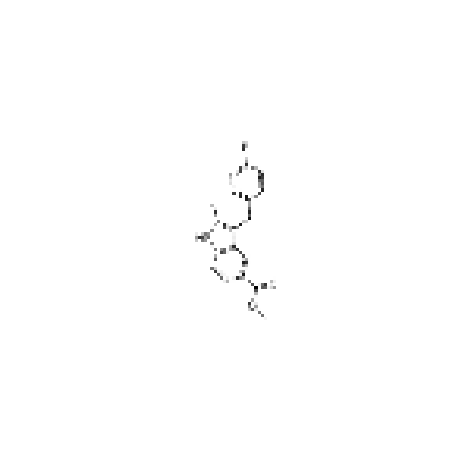 COC(=O)c1ccc2[nH]c(C)c(Cc3ccc(F)cc3)c2c1